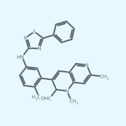 Cc1cc2c(cn1)C=C(c1cc(Nc3nsc(-c4ccccc4)n3)ccc1C)C(C=O)N2C